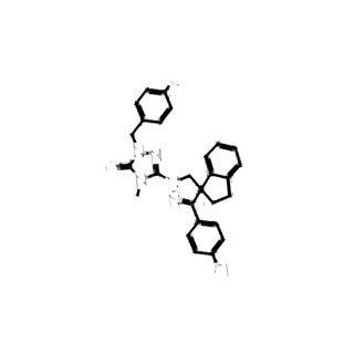 Cn1c(N2CC3(CCc4ccccc43)C(c3ccc(Cl)cc3)=N2)nn(Cc2ccc(Cl)cc2)c1=O